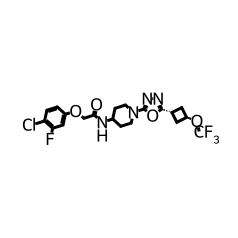 O=C(COc1ccc(Cl)c(F)c1)NC1CCN(c2nnc([C@H]3C[C@H](OC(F)(F)F)C3)o2)CC1